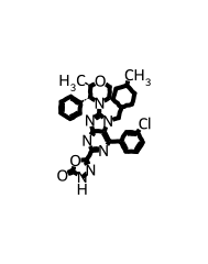 CC1CCC(Cn2c(N3CCO[C@@H](C)[C@H]3c3ccccc3)nc3nc(-c4n[nH]c(=O)o4)nc(-c4cccc(Cl)c4)c32)CC1